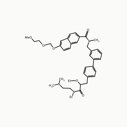 CCOC(Cc1ccc(-c2cccc(CN(C)C(=O)c3ccc4cc(OCOCCOC)ccc4c3)c2)cc1)C(=O)N(CC)CCN(C)C